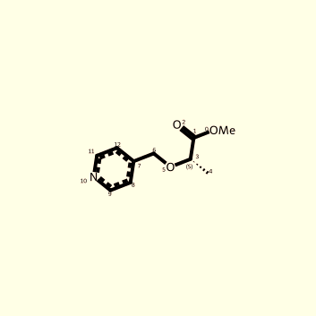 COC(=O)[C@H](C)OCc1ccncc1